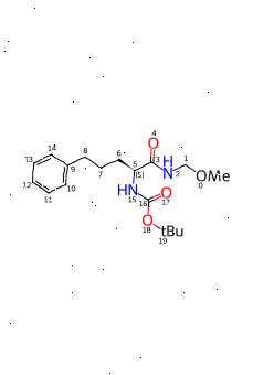 COCNC(=O)[C@H](CCCc1ccccc1)NC(=O)OC(C)(C)C